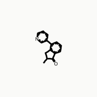 CC1Cc2c(cccc2-c2cccnc2)C1=O